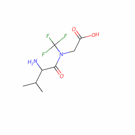 CC(C)C(N)C(=O)N(CC(=O)O)C(F)(F)F